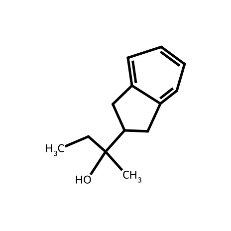 CCC(C)(O)C1Cc2ccccc2C1